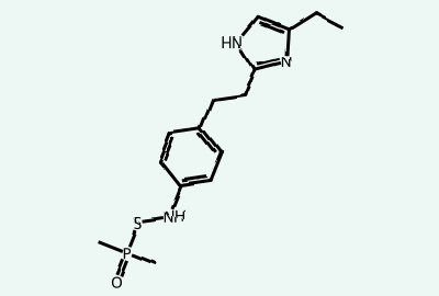 CCc1c[nH]c(CCc2ccc(NSP(C)(C)=O)cc2)n1